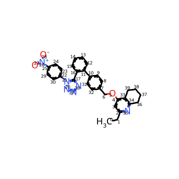 CCc1cc(OCc2ccc(-c3ccccc3-c3nnnn3-c3ccc([N+](=O)[O-])cc3)cc2)c2c(n1)CCCC2